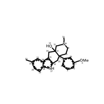 COc1cccc(C23CCN(C)CC2(O)Cc2c([nH]c4ccc(C)cc24)C3)c1